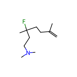 C=C(C)CCC(C)(F)CCN(C)C